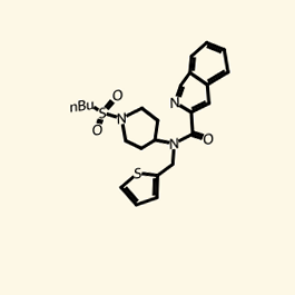 CCCCS(=O)(=O)N1CCC(N(Cc2cccs2)C(=O)c2cc3ccccc3cn2)CC1